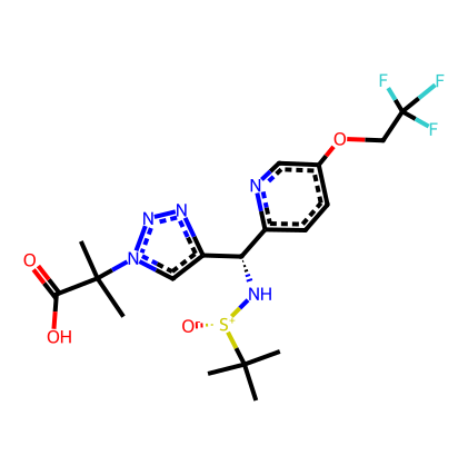 CC(C)(C(=O)O)n1cc([C@@H](N[S@@+]([O-])C(C)(C)C)c2ccc(OCC(F)(F)F)cn2)nn1